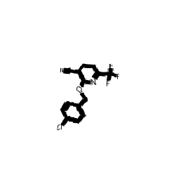 N#Cc1ccc(C(F)(F)F)nc1OCc1ccc(Cl)cc1